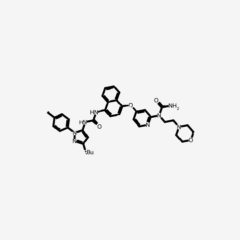 Cc1ccc(-n2nc(C(C)(C)C)cc2NC(=O)Nc2ccc(Oc3ccnc(N(CCN4CCOCC4)C(N)=O)c3)c3ccccc23)cc1